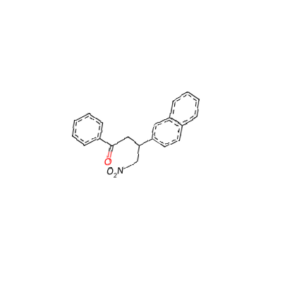 O=C(CC(C[N+](=O)[O-])c1ccc2ccccc2c1)c1ccccc1